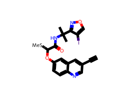 C#Cc1cnc2ccc(OC(SC)C(=O)NC(C)(C)c3nocc3I)cc2c1